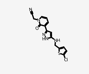 N#CCn1cccc(-c2cc(NCc3ccc(Cl)s3)[nH]n2)c1=O